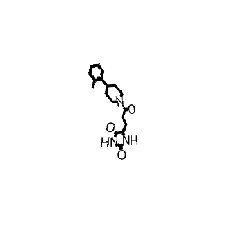 Cc1ccccc1C1CCN(C(=O)CCC2NC(=O)NC2=O)CC1